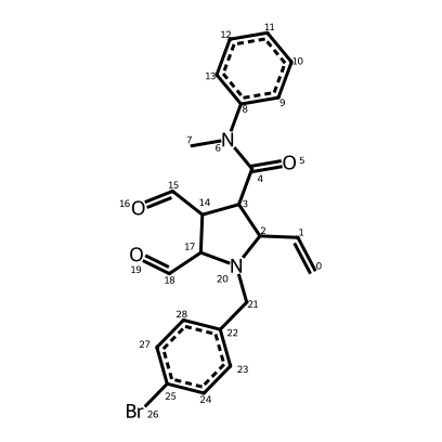 C=CC1C(C(=O)N(C)c2ccccc2)C(C=O)C(C=O)N1Cc1ccc(Br)cc1